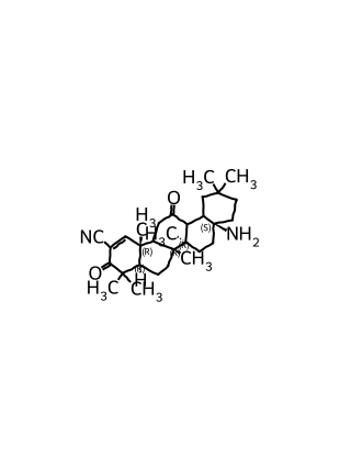 CC1(C)CC[C@]2(N)CC[C@]3(C)C(C(=O)CC4[C@@]5(C)C=C(C#N)C(=O)C(C)(C)[C@@H]5CC[C@]43C)C2C1